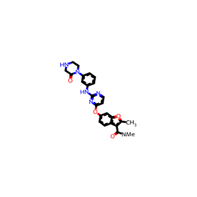 CNC(=O)c1c(C)oc2cc(Oc3ccnc(Nc4cccc(N5CCNCC5=O)c4)n3)ccc12